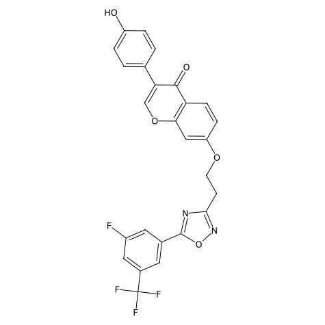 O=c1c(-c2ccc(O)cc2)coc2cc(OCCc3noc(-c4cc(F)cc(C(F)(F)F)c4)n3)ccc12